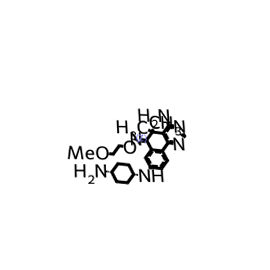 COCCO/N=C1\c2cc(N[C@H]3CC[C@@H](N)CC3)ccc2-c2ncnc(N)c2C1(C)C